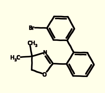 CC1(C)COC(c2ccccc2-c2cccc(Br)c2)=N1